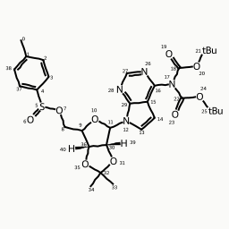 Cc1ccc(S(=O)OCC2OC(n3ccc4c(N(C(=O)OC(C)(C)C)C(=O)OC(C)(C)C)ncnc43)[C@@H]3OC(C)(C)O[C@H]23)cc1